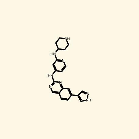 c1cc(Nc2ncc3ccc(-c4cn[nH]c4)cc3n2)cc(NC2CCNCC2)n1